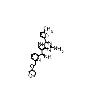 Cc1ccc(-c2nc(N)nc3c(C(=N)c4cccc(CO[C@H]5CCOC5)n4)cnn23)o1